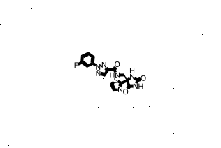 O=C1NC(=O)[C@](CNC(=O)c2cnn(-c3cccc(F)c3)n2)(c2nccs2)N1